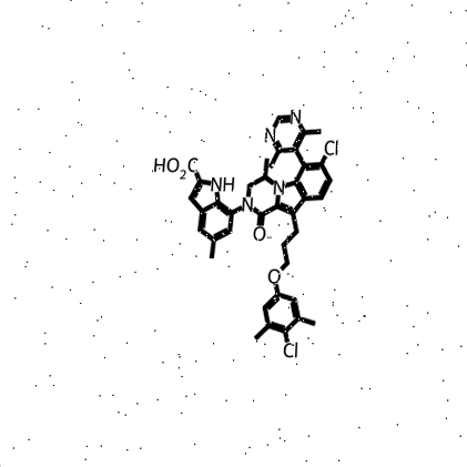 Cc1cc(N2CC(C)n3c(c(CCCOc4cc(C)c(Cl)c(C)c4)c4ccc(Cl)c(-c5c(C)ncnc5C)c43)C2=O)c2[nH]c(C(=O)O)cc2c1